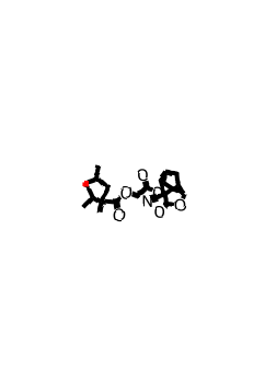 CC(C)CC(C)(C(=O)OCC(=O)OC1C2CC3C1OC(=O)C3(C#N)C2)C(C)C